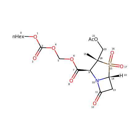 CCCCCCOC(=O)OCOC(=O)[C@@H]1N2C(=O)C[C@H]2S(=O)(=O)[C@@]1(C)COC(C)=O